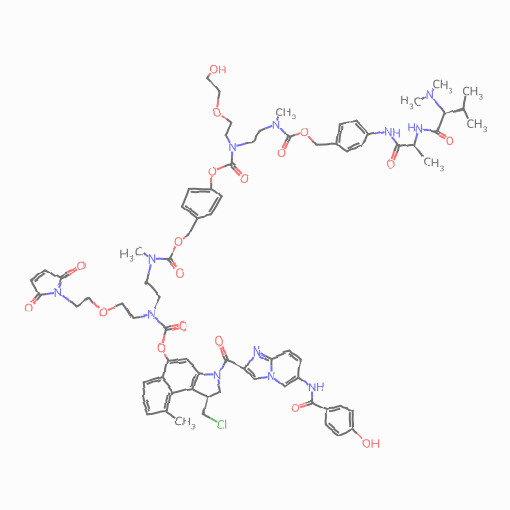 Cc1cccc2c(OC(=O)N(CCOCCN3C(=O)C=CC3=O)CCN(C)C(=O)OCc3ccc(OC(=O)N(CCOCCO)CCN(C)C(=O)OCc4ccc(NC(=O)[C@H](C)NC(=O)[C@H](C(C)C)N(C)C)cc4)cc3)cc3c(c12)[C@H](CCl)CN3C(=O)c1cn2cc(NC(=O)c3ccc(O)cc3)ccc2n1